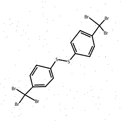 BrC(Br)(Br)c1ccc(SSc2ccc(C(Br)(Br)Br)cc2)cc1